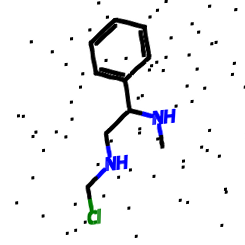 CNC(CNCCl)c1ccccc1